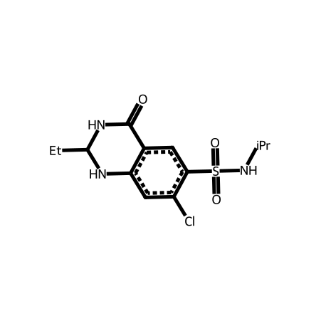 CCC1NC(=O)c2cc(S(=O)(=O)NC(C)C)c(Cl)cc2N1